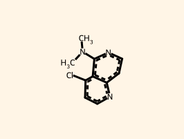 CN(C)c1nccc2nccc(Cl)c12